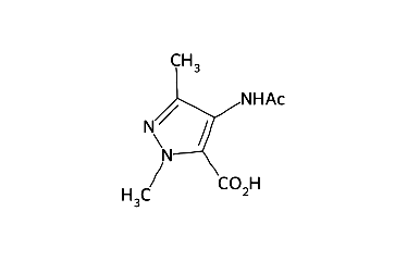 CC(=O)Nc1c(C)nn(C)c1C(=O)O